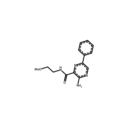 COCCNC(=O)c1nc(-c2ccccc2)cnc1N